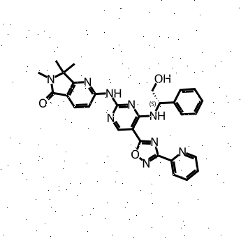 CN1C(=O)c2ccc(Nc3ncc(-c4nc(-c5ccccn5)no4)c(N[C@H](CO)c4ccccc4)n3)nc2C1(C)C